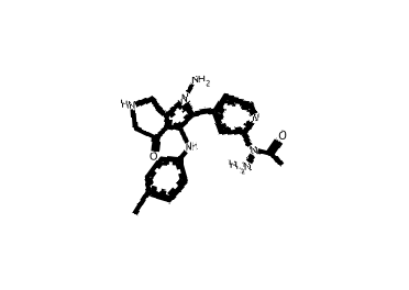 CC(=O)N(N)c1cc(-c2c(Nc3ccc(C)cc3)c3c(n2N)CNCC3=O)ccn1